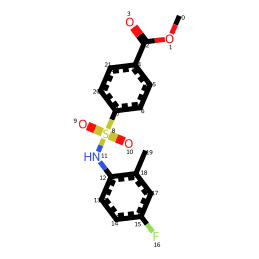 COC(=O)c1ccc(S(=O)(=O)Nc2ccc(F)cc2C)cc1